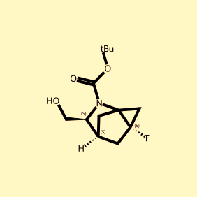 CC(C)(C)OC(=O)N1[C@H](CO)[C@H]2CC13C[C@@]3(F)C2